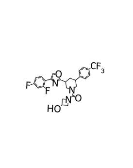 O=C(N1CC(O)C1)N1CC(c2ccc(C(F)(F)F)cc2)CC(c2nc(-c3ccc(F)cc3F)co2)C1